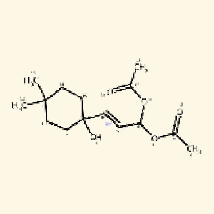 CC(=O)OC(/C=C/C1(O)CCC(C)(C)CC1)OC(C)=O